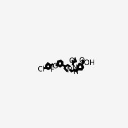 O=C(O)c1ccc2nc(CN3CCC(c4cccc(OCc5ccc(Cl)cc5F)c4)CC3)n(CC3CCO3)c2c1